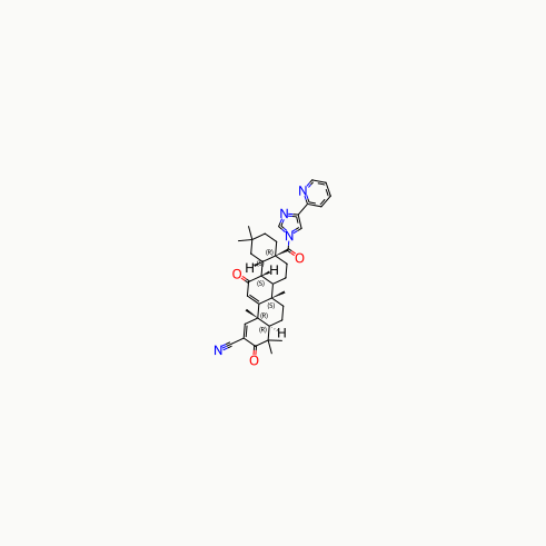 CC1(C)CC[C@]2(C(=O)n3cnc(-c4ccccn4)c3)CCC3[C@H](C(=O)C=C4[C@@]3(C)CC[C@H]3C(C)(C)C(=O)C(C#N)=C[C@]43C)[C@@H]2C1